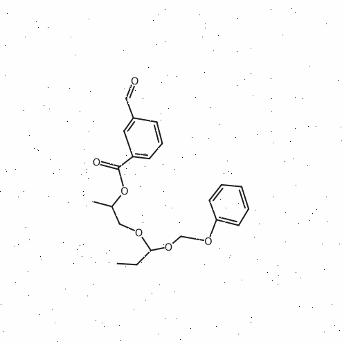 CCC(OCOc1ccccc1)OCC(C)OC(=O)c1cccc(C=O)c1